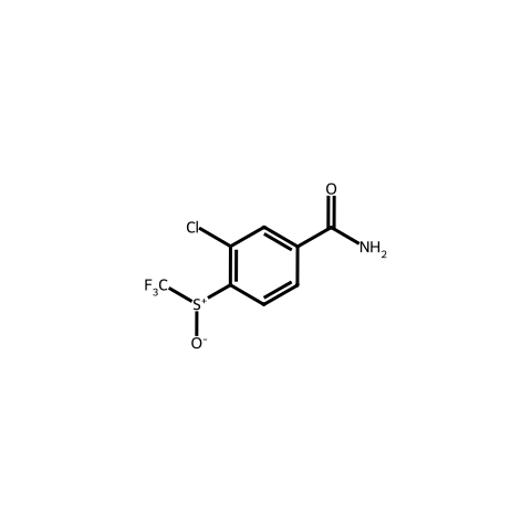 NC(=O)c1ccc([S+]([O-])C(F)(F)F)c(Cl)c1